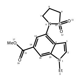 CCn1ccc2c(N3CCCS3(=O)=O)cc(C(=O)OC)cc21